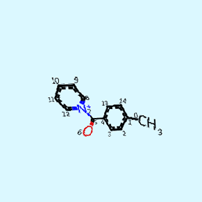 Cc1ccc(C(=O)[n+]2ccccc2)cc1